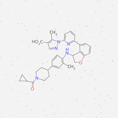 Cc1cc(C2CCN(C(=O)C3CC3)CC2)ccc1NC1COc2cccc(-c3cccc(-n4ncc(C(=O)O)c4C)n3)c21